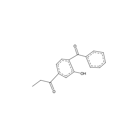 CCC(=O)c1ccc(C(=O)c2ccccc2)c(O)c1